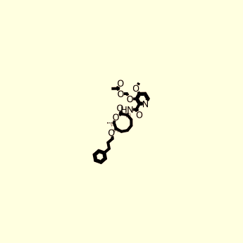 COc1ccnc(C(=O)N[C@H]2CCCC[C@@H](OCCCc3ccccc3)[C@H](C)OC2=O)c1OCOC(C)=O